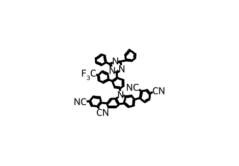 N#Cc1ccc(-c2ccc3c4ccc(-c5ccc(C#N)cc5C#N)cc4n(-c4ccc(-c5nc(-c6ccccc6)nc(-c6ccccc6)n5)c(-c5ccc(C(F)(F)F)cc5)c4)c3c2)c(C#N)c1